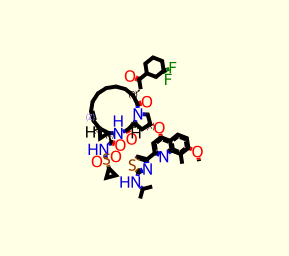 COc1ccc2c(O[C@@H]3C[C@H]4C(=O)N[C@]5(C(=O)NS(=O)(=O)C6CC6)C[C@H]5/C=C\CCCCC[C@H](CC(=O)C5CCCC(F)(F)C5)C(=O)N4C3)cc(-c3csc(NC(C)C)n3)nc2c1C